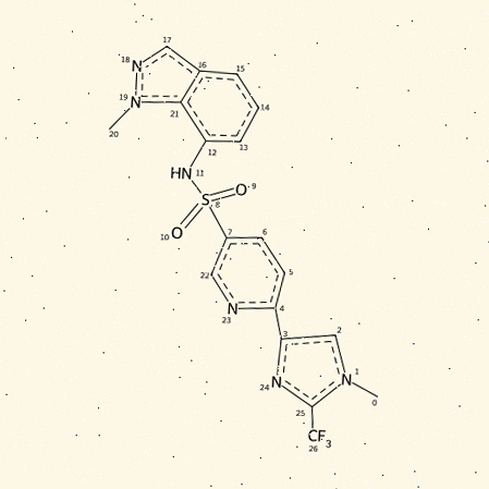 Cn1cc(-c2ccc(S(=O)(=O)Nc3cccc4cnn(C)c34)cn2)nc1C(F)(F)F